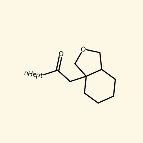 CCCCCCCC(=O)CC12CCCCC1COC2